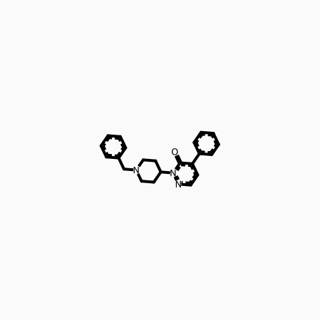 O=c1c(-c2ccccc2)ccnn1C1CCN(Cc2ccccc2)CC1